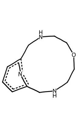 c1cc2nc(c1)CNCCOCCNC2